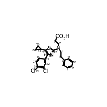 O=C(O)CCN(CCc1ccccc1)c1nc(-c2ccc(Cl)c(Cl)c2)c(C2CC2)s1